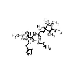 CC(=O)ON(CCc1ccoc1)C(=O)C(CCCCN)NC(=O)CCC1(C)C(C)=C(C)C(C)=C1C